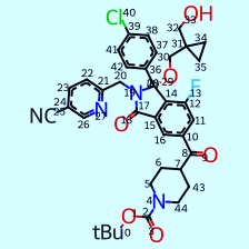 CC(C)(C)OC(=O)N1CCC(C(=O)c2cc(F)c3c(c2)C(=O)N(Cc2ccc(C#N)cn2)[C@@]3(OCC2(CO)CC2)c2ccc(Cl)cc2)CC1